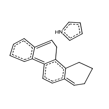 C1=c2ccc3c(c2CCC1)CC=c1ccccc1=3.c1cc[nH]c1